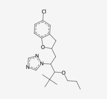 CCCOC(C(CC1Cc2cc(Cl)ccc2O1)n1cncn1)C(C)(C)C